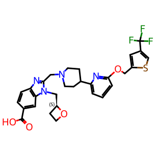 O=C(O)c1ccc2nc(CN3CCC(c4cccc(OCc5cc(C(F)(F)F)cs5)n4)CC3)n(C[C@@H]3CCO3)c2c1